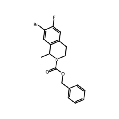 CC1c2cc(Br)c(F)cc2CCN1C(=O)OCc1ccccc1